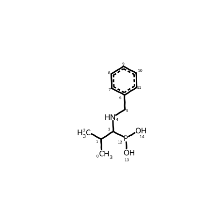 CC(C)C(NCc1ccccc1)P(O)O